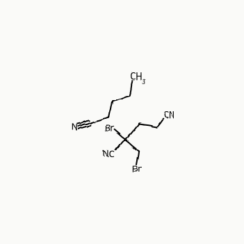 CCCCC#N.N#CCCC(Br)(C#N)CBr